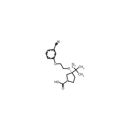 CC(C)(C)[C@@]1(OCCOc2cccc(C#N)c2)CCN(C(=O)O)C1